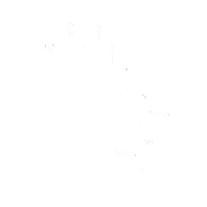 Bc1cccc(OC[C@@H]2CCN(C(=O)CNC(=O)OC)C2)c1